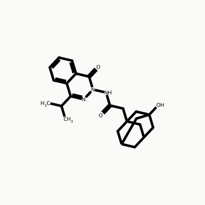 CC(C)c1nn(NC(=O)CC23CC4CC(CC(O)(C4)C2)C3)c(=O)c2ccccc12